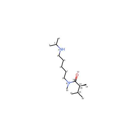 CC(C)NCCCCCN(C)C(=O)[C@@H](C)C(C)C